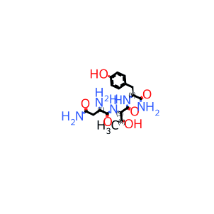 C[C@@H](O)[C@H](NC(=O)[C@@H](N)CC(N)=O)C(=O)N[C@@H](Cc1ccc(O)cc1)C(N)=O